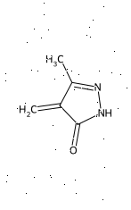 C=C1C(=O)NN=C1C